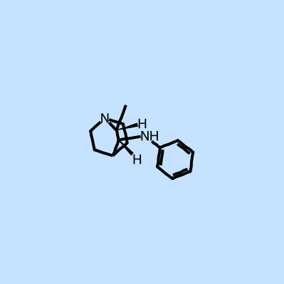 C[C@@H]1[C@H](Nc2ccccc2)C2CCN1CC2